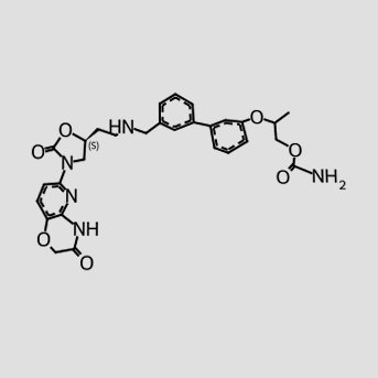 CC(COC(N)=O)Oc1cccc(-c2cccc(CNCC[C@H]3CN(c4ccc5c(n4)NC(=O)CO5)C(=O)O3)c2)c1